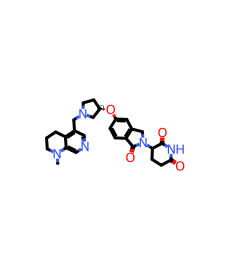 CN1CCCc2c(CN3CC[C@H](Oc4ccc5c(c4)CN(C4CCC(=O)NC4=O)C5=O)C3)cncc21